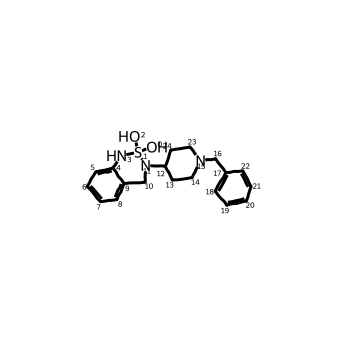 OS1(O)Nc2ccccc2CN1C1CCN(Cc2ccccc2)CC1